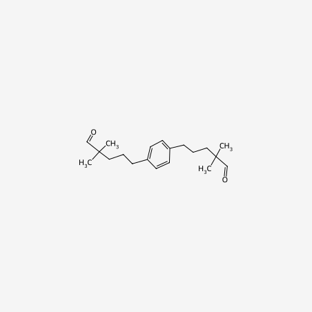 CC(C)(C=O)CCCc1ccc(CCCC(C)(C)C=O)cc1